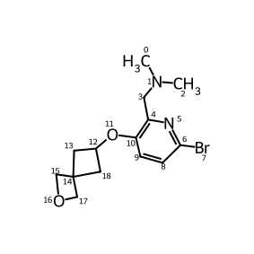 CN(C)Cc1nc(Br)ccc1OC1CC2(COC2)C1